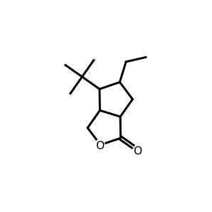 CCC1CC2C(=O)OCC2C1C(C)(C)C